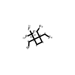 FCC1(CF)CCC1(CF)C(F)(F)F